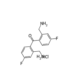 Cl.NCc1cc(F)ccc1C(=O)c1ccc(F)cc1CN